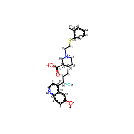 COc1ccc2nccc([C@H](F)CC[C@@H]3CCN(CCSc4ccccc4C)C[C@@H]3C(=O)O)c2c1